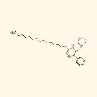 CCCCCCCCCCCCCCCC(=O)NC(CN1CCCCC1)C(O)c1ccccc1